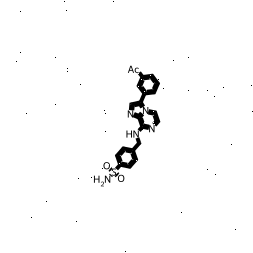 CC(=O)c1cccc(-c2cnc3c(NCc4ccc(S(N)(=O)=O)cc4)nccn23)c1